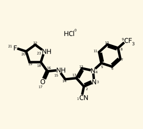 Cl.N#Cc1nn(-c2ccc(C(F)(F)F)cc2)cc1CNC(=O)C1CC(F)CN1